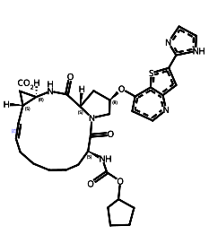 O=C(N[C@H]1CCCCC/C=C\[C@@H]2C[C@@]2(C(=O)O)NC(=O)[C@@H]2C[C@@H](Oc3ccnc4cc(-c5ncc[nH]5)sc34)CN2C1=O)OC1CCCC1